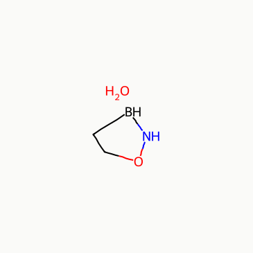 B1CCON1.O